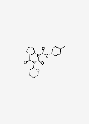 Cc1ccc(OC(=O)n2c3c(c(=O)n(C4CCCCO4)c2=O)CCC3)cc1